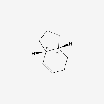 C1=C[C@@H]2CCC[C@@H]2CC1